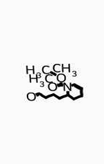 CC(C)(C)OC(=O)N1C=CCCC1CCCC=O